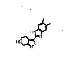 Cc1cc2nc(-c3[nH]nc4c3CCNC4)[nH]c2cc1C